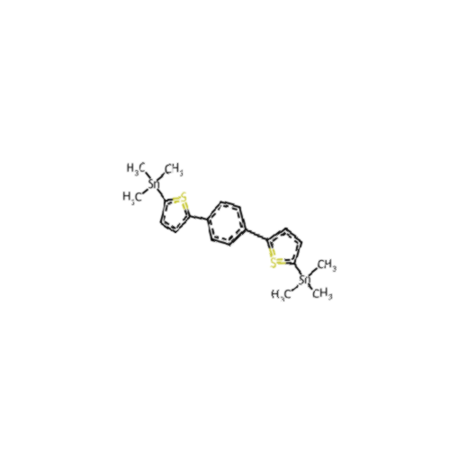 [CH3][Sn]([CH3])([CH3])[c]1ccc(-c2ccc(-c3cc[c]([Sn]([CH3])([CH3])[CH3])s3)cc2)s1